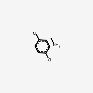 CN.Clc1ccc(Cl)cc1